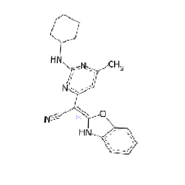 Cc1cc(/C(C#N)=C2/Nc3ccccc3O2)nc(NC2CCCCC2)n1